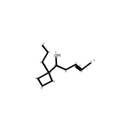 CCCC1(C(O)C/C=C/I)CCC1